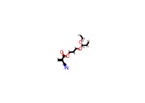 C=C(C#N)C(=O)OCCCOC(CC)OCC